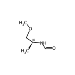 COC[C@H](C)N[C]=O